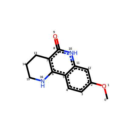 COc1ccc2c3c(c(=O)[nH]c2c1)CCCN3